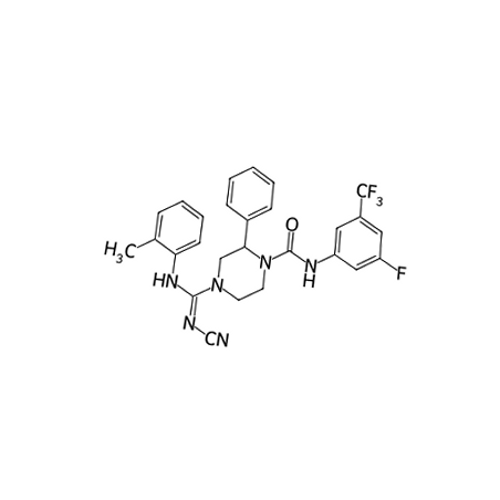 Cc1ccccc1N/C(=N/C#N)N1CCN(C(=O)Nc2cc(F)cc(C(F)(F)F)c2)C(c2ccccc2)C1